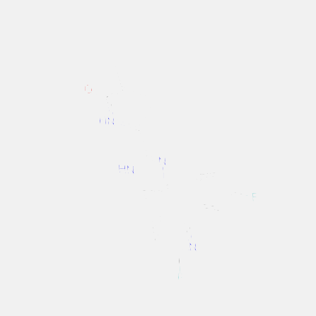 Cc1ccc(C2=N[C@@](c3ccc(F)cc3)(c3ccc(F)nc3)[C@H](C)N2)[nH]c1=O